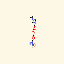 CCC(=O)NCCOCCOCCOCCN1CCN(C(C)C)CC1